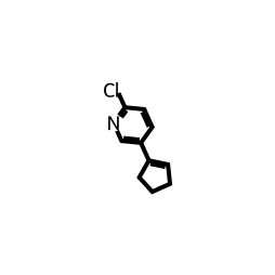 Clc1ccc(C2=CCCC2)cn1